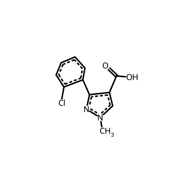 Cn1cc(C(=O)O)c(-c2ccccc2Cl)n1